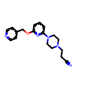 N#CCCN1CCN(c2cccc(OCc3ccncc3)n2)CC1